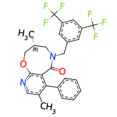 Cc1cnc2c(c1-c1ccccc1)C(=O)N(Cc1cc(C(F)(F)F)cc(C(F)(F)F)c1)C[C@@H](C)CO2